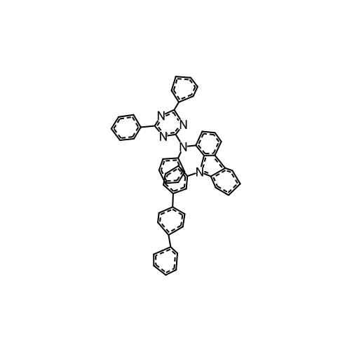 c1ccc(-c2ccc(-c3cccc(-n4c5ccccc5c5cccc(N(c6ccccc6)c6nc(-c7ccccc7)nc(-c7ccccc7)n6)c54)c3)cc2)cc1